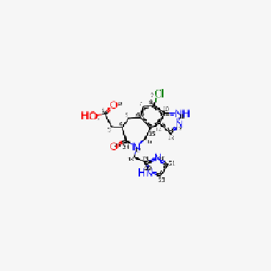 O=C(O)CC1Cc2cc(Cl)c3[nH]ncc3c2CN(Cc2ncc[nH]2)C1=O